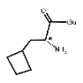 CC(C)(C)C(=O)[C@H](N)CC1CCC1